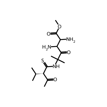 COC(=O)C(N)C(N)C(=O)C(C)(C)NC(=S)[C@H](C(C)=O)C(C)C